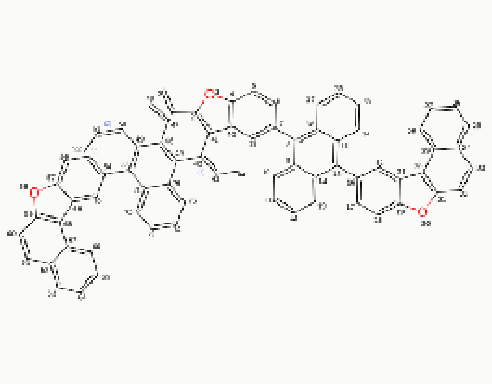 C=Cc1oc2ccc(-c3c4ccccc4c(-c4ccc5oc6ccc7ccccc7c6c5c4)c4ccccc34)cc2c1/C(=C\C)c1c(C=C)c(/C=C\C)c(-c2ccc3oc4ccc5ccccc5c4c3c2)c2ccccc12